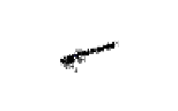 CN1CCSc2cc(/C=C(\C#N)C(=O)NCCOCCOCCCCCCCl)ccc21